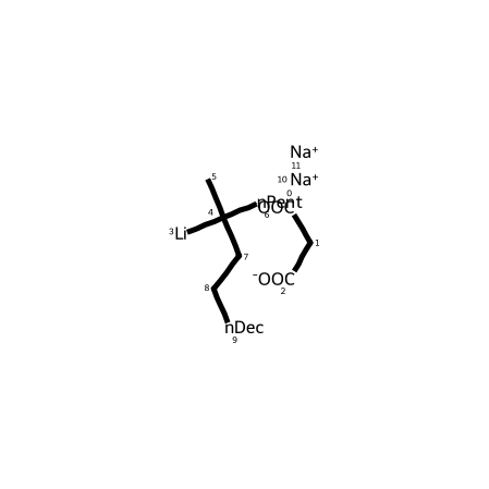 O=C([O-])CC(=O)[O-].[Li][C](C)(CCCCC)CCCCCCCCCCCC.[Na+].[Na+]